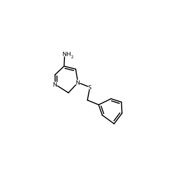 NC1=CN(SCc2ccccc2)CN=C1